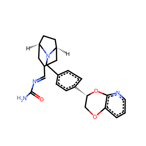 NC(=O)/N=C/C1C[C@H]2CC[C@@H](C1)N2Cc1ccc([C@H]2COc3cccnc3O2)cc1